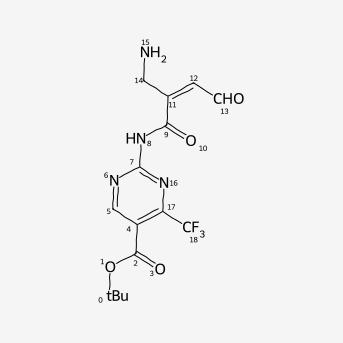 CC(C)(C)OC(=O)c1cnc(NC(=O)/C(=C\C=O)CN)nc1C(F)(F)F